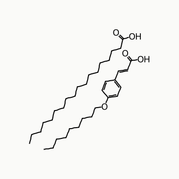 CCCCCCCCCCCCCCCCCC(=O)O.CCCCCCCCCOc1ccc(C=CC(=O)O)cc1